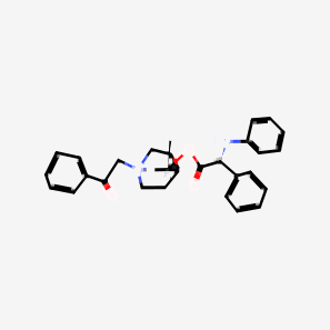 O=C(C[N+]12CCC(CC1)[C@@H](OC(=O)[C@@H](Nc1ccccc1)c1ccccc1)C2)c1ccccc1